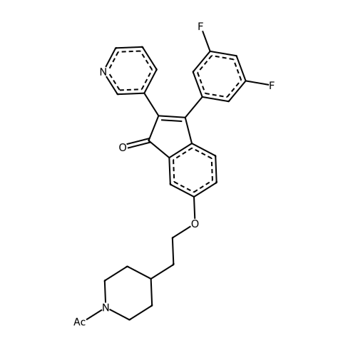 CC(=O)N1CCC(CCOc2ccc3c(c2)C(=O)C(c2cccnc2)=C3c2cc(F)cc(F)c2)CC1